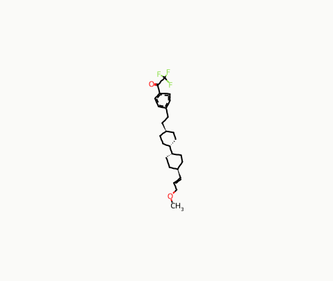 COCC=C[C@H]1CC[C@H]([C@H]2CC[C@H](CCc3ccc(C(=O)C(F)(F)F)cc3)CC2)CC1